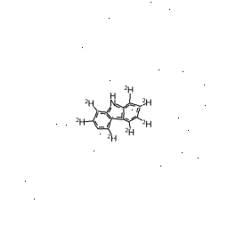 [2H]c1cc([2H])c2c([nH]c3c([2H])c([2H])c([2H])c([2H])c32)c1[2H]